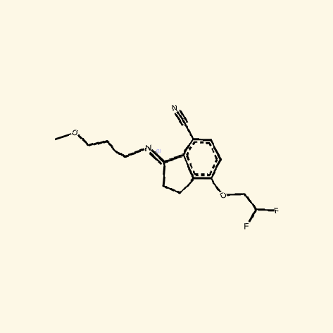 COCCC/N=C1\CCc2c(OCC(F)F)ccc(C#N)c21